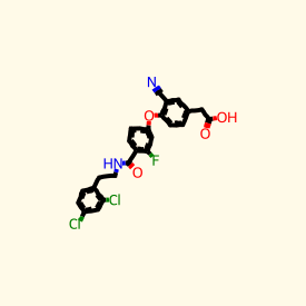 N#Cc1cc(CC(=O)O)ccc1Oc1ccc(C(=O)NCCc2ccc(Cl)cc2Cl)c(F)c1